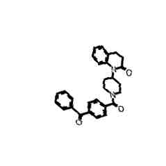 O=C(c1ccccc1)c1ccc(C(=O)N2CCC(N3C(=O)CCc4ccccc43)CC2)cc1